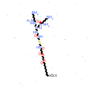 CCCCCCCC/C=C\CCCCCCCC(=O)OCCCOC(=O)CCC(=O)NCCSSCCNC(=O)CNCCN(CCNC(=O)C(N)CCCCN)CCNC(=O)C(N)CCCCN